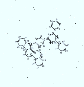 c1ccc(-c2cc(-c3cccc(-c4nc5ccccc5c5ccc6c7ccccc7oc6c45)c3)nc(-c3ccccc3)n2)cc1